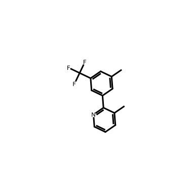 Cc1cc(-c2ncccc2C)cc(C(F)(F)F)c1